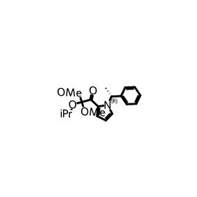 COC(OC)(OC(C)C)C(=O)c1cccn1[C@H](C)c1ccccc1